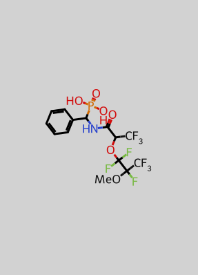 COC(F)(C(F)(F)F)C(F)(F)OC(C(=O)NC(c1ccccc1)P(=O)(O)O)C(F)(F)F